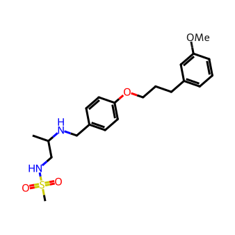 COc1cccc(CCCOc2ccc(CNC(C)CNS(C)(=O)=O)cc2)c1